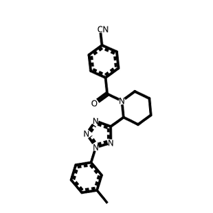 Cc1cccc(-n2nnc(C3CCCCN3C(=O)c3ccc(C#N)cc3)n2)c1